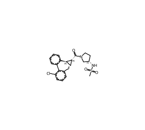 CS(=O)(=O)N[C@H]1CCN(C(=O)[C@@H]2C[C@H]2c2ccccc2-c2c(F)cccc2Cl)C1